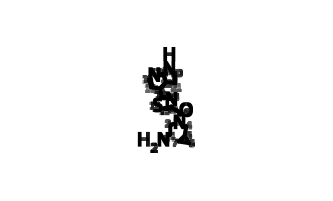 NCCN(CC1CC1)C(=O)c1csc(C2C=CN=C3NC=CC32)n1